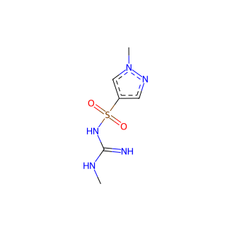 CNC(=N)NS(=O)(=O)c1cnn(C)c1